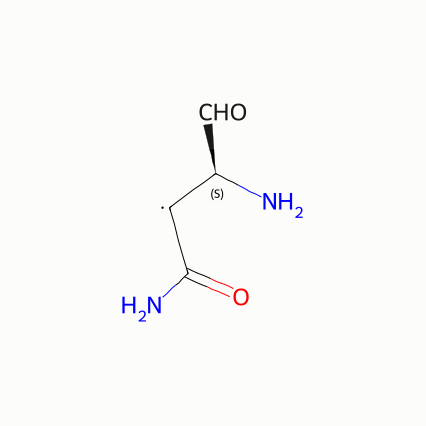 NC(=O)[CH][C@H](N)C=O